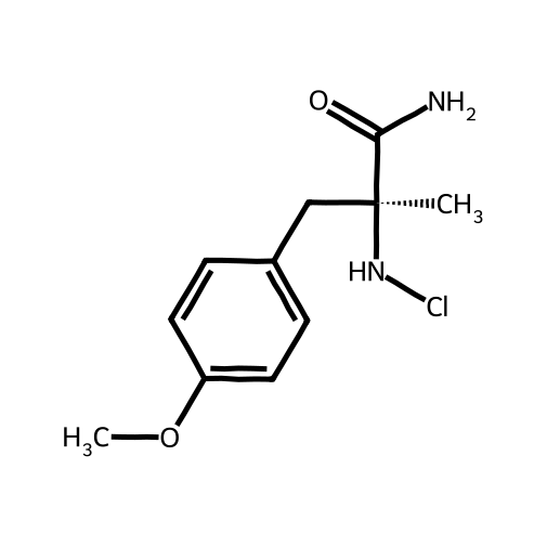 COc1ccc(C[C@](C)(NCl)C(N)=O)cc1